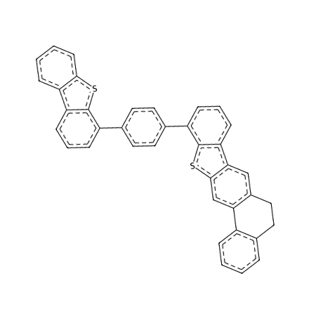 c1ccc2c(c1)CCc1cc3c(cc1-2)sc1c(-c2ccc(-c4cccc5c4sc4ccccc45)cc2)cccc13